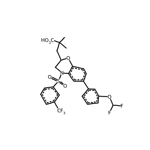 CC(C)(CC1CN(S(=O)(=O)c2cccc(C(F)(F)F)c2)c2cc(-c3cccc(OC(F)F)c3)ccc2O1)C(=O)O